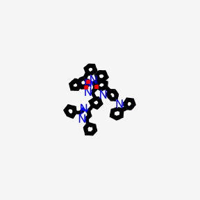 c1ccc(-c2cc(-c3ccc(-n4c5cc(-n6c7ccccc7c7ccccc76)ccc5c5ccc(-n6c7ccccc7c7ccccc76)cc54)c(-c4cc(-c5ccccc5)nc(-c5ccccc5)n4)c3)nc(-c3ccccc3)n2)cc1